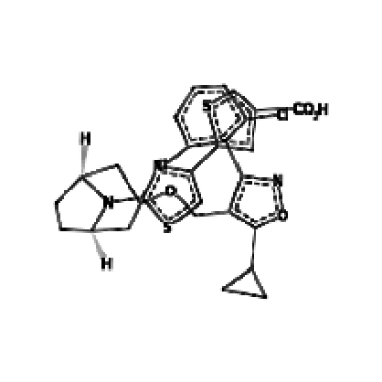 O=C(O)c1csc(-c2csc(N3[C@@H]4CC[C@H]3CC(OCc3c(-c5c(Cl)cccc5Cl)noc3C3CC3)C4)n2)c1